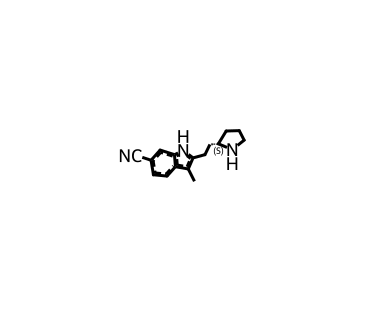 Cc1c(CC[C@@H]2CCCN2)[nH]c2cc(C#N)ccc12